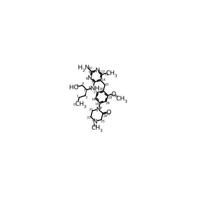 CCC[C@@H](CO)Nc1nc(N)nc(C)c1Cc1ccc(N2CCN(C)CC2=O)cc1OC